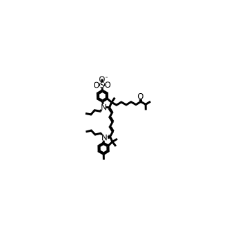 CCCCN1\C(=C/C=C/C=C/C2=[N+](CCCC)c3ccc(C)cc3C2(C)C)C(C)(CCCCCC(=O)C(C)C)c2cc(S(=O)(=O)[O-])ccc21